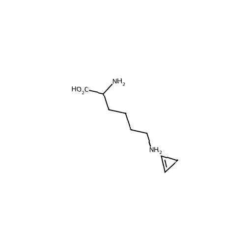 C1=CC1.NCCCCC(N)C(=O)O